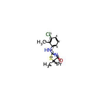 Cc1c(Cl)cccc1NC1=NC(=O)C(C)(C(C)C)S1